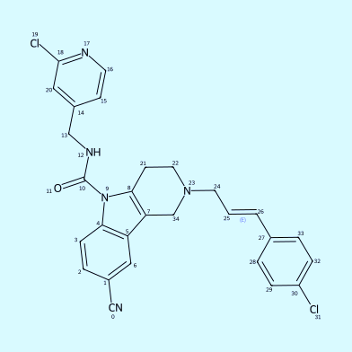 N#Cc1ccc2c(c1)c1c(n2C(=O)NCc2ccnc(Cl)c2)CCN(C/C=C/c2ccc(Cl)cc2)C1